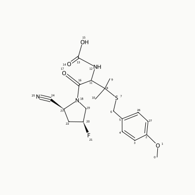 COc1ccc(CSC(C)(C)C(NC(=O)O)C(=O)N2C[C@@H](F)C[C@H]2C#N)cc1